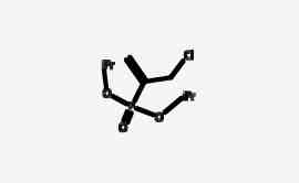 C=C(CCl)P(=O)(OC(C)C)OC(C)C